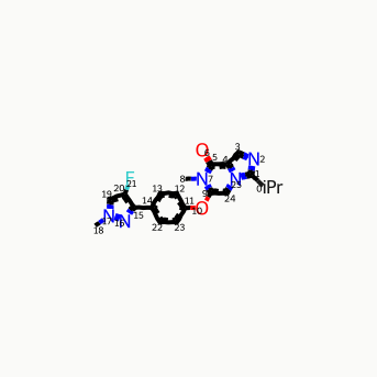 CC(C)c1ncc2c(=O)n(C)c(Oc3ccc(-c4nn(C)cc4F)cc3)cn12